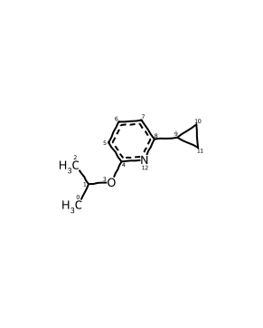 CC(C)Oc1cccc(C2CC2)n1